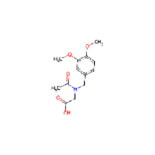 COc1ccc(CN(CC(=O)O)C(C)=O)cc1OC